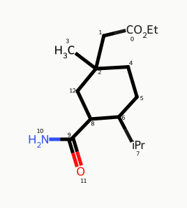 CCOC(=O)CC1(C)CCC(C(C)C)C(C(N)=O)C1